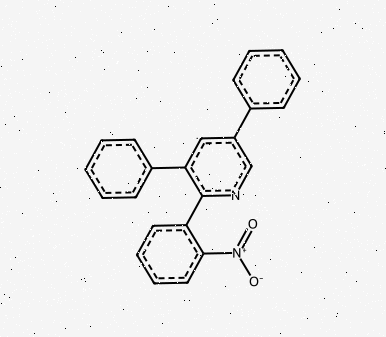 O=[N+]([O-])c1ccccc1-c1ncc(-c2ccccc2)[c]c1-c1ccccc1